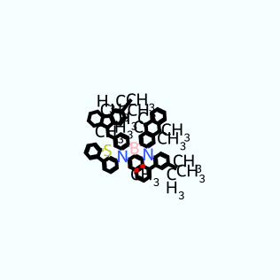 Cc1cc2c3c(c1)N(c1cccc4c1sc1ccccc14)c1cc(CC4c5ccc(C(C)(C)C)cc5C5(C)CCCCC45C)ccc1B3c1cc3c(cc1N2c1ccc(C(C)(C)C)cc1-c1ccccc1)C(C)(C)c1ccccc1C3(C)C